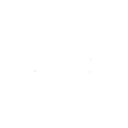 CCCCC(CC)COC(=O)CC(=O)c1ncc[nH]1